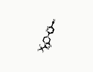 N#Cc1ccc(N2CCn3c(nnc3C(F)(F)F)C2)nn1